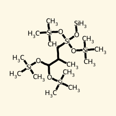 CC(C[Si](O[SiH3])(O[Si](C)(C)C)O[Si](C)(C)C)[C](O[Si](C)(C)C)O[Si](C)(C)C